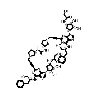 O=C(CO)N[C@H]1C[C@@H](n2cnc3c(N[C@H](CO)Cc4ccccc4)nc(C#CCN4CC[C@@H](NC(=O)N[C@@H]5CCN(CC#Cc6nc(N[C@H](CO)Cc7ccccc7)c7ncn([C@@H]8C[C@H](NC(=O)CO)[C@@H](O)[C@H]8O)c7n6)C5)C4)nc32)[C@H](O)[C@@H]1O